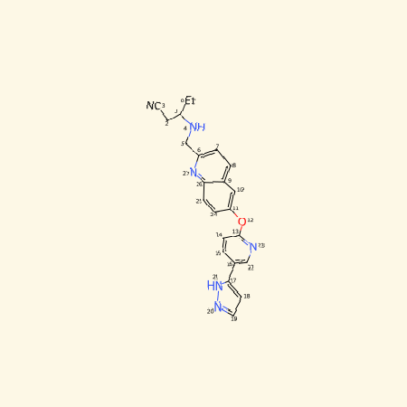 CCC(CC#N)NCc1ccc2cc(Oc3ccc(-c4ccn[nH]4)cn3)ccc2n1